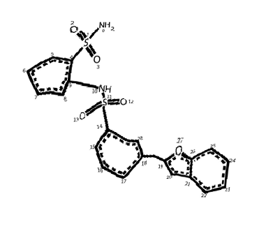 NS(=O)(=O)c1ccccc1NS(=O)(=O)c1cccc(-c2cc3ccccc3o2)c1